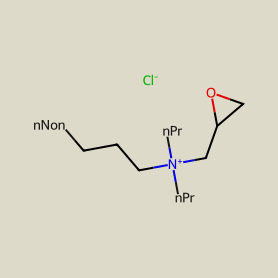 CCCCCCCCCCCC[N+](CCC)(CCC)CC1CO1.[Cl-]